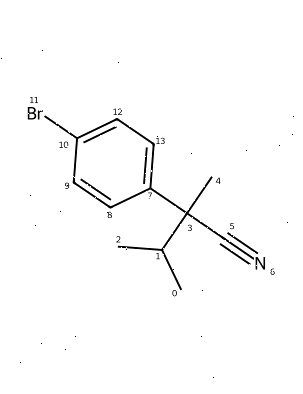 CC(C)C(C)(C#N)c1ccc(Br)cc1